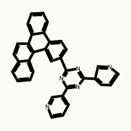 c1cncc(-c2nc(-c3cccnc3)nc(-c3ccc4c5ccccc5c5ccc6ccccc6c5c4c3)n2)c1